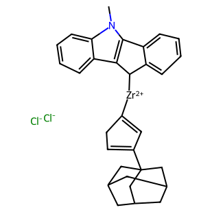 Cn1c2c(c3ccccc31)[CH]([Zr+2][C]1=CC(C34CC5CC(CC(C5)C3)C4)=CC1)c1ccccc1-2.[Cl-].[Cl-]